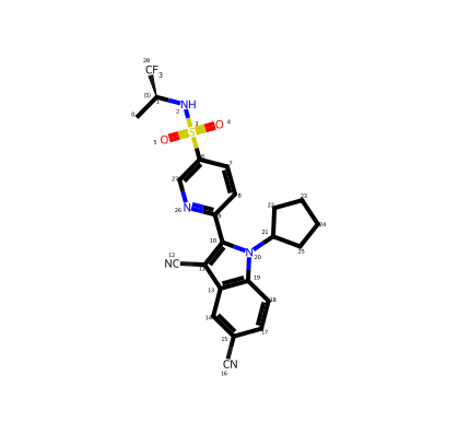 C[C@H](NS(=O)(=O)c1ccc(-c2c(C#N)c3cc(C#N)ccc3n2C2CCCC2)nc1)C(F)(F)F